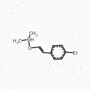 CCc1ccc(C=CO[SiH](C)C)cc1